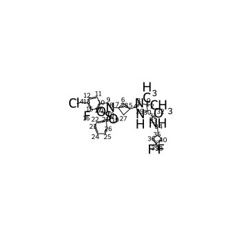 CC1(C)N=C(C23CC(N(Cc4ccc(Cl)c(F)c4)S(=O)(=O)c4ccccc4)(C2)C3)N[C@H]1C(=O)NCC1CC(F)(F)C1